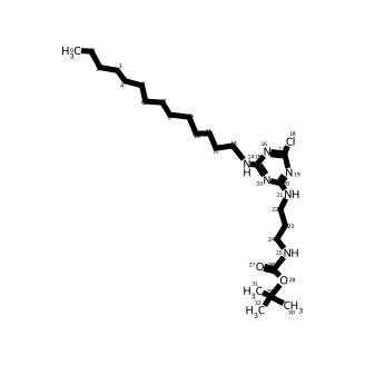 CCCCCCCCCCCCCCNc1nc(Cl)nc(NCCCNC(=O)OC(C)(C)C)n1